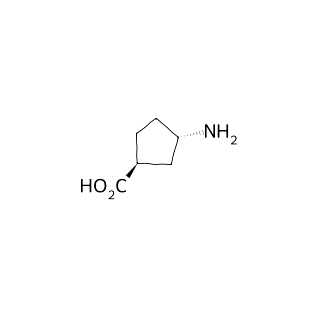 N[C@H]1CC[C@H](C(=O)O)C1